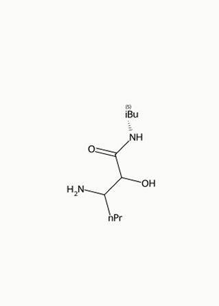 CCCC(N)C(O)C(=O)N[C@@H](C)CC